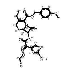 COc1ccc(COC(=O)C2=C(CCl)CS[C@@H]3[C@H](NC(=O)/C(=N/OCF)c4csc(N)n4)C(=O)N23)cc1